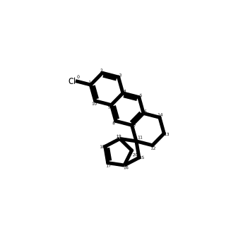 Clc1ccc2cc3c(cc2c1)C1(CCC3)CC2C=CC1C2